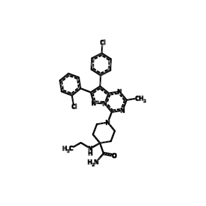 CCNC1(C(N)=O)CCN(c2nc(C)nc3c(-c4ccc(Cl)cc4)c(-c4ccccc4Cl)nn23)CC1